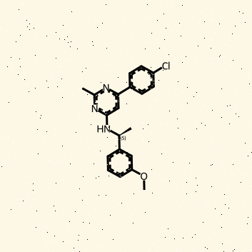 COc1cccc([C@H](C)Nc2cc(-c3ccc(Cl)cc3)nc(C)n2)c1